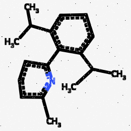 Cc1cccc(-c2c(C(C)C)cccc2C(C)C)n1